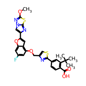 COc1nn2cc(-c3cc4c(OCc5csc(-c6ccc(C(=O)O)c(C(C)(C)C)c6)n5)cc(F)cc4o3)nc2s1